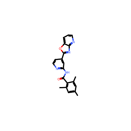 Cc1cc(C)c(C(=O)Nc2cc(-c3nc4ncccc4o3)ccn2)c(C)c1